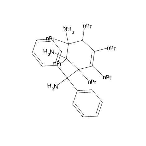 CCCC1=C(CCC)C(CCC)(C(N)(c2ccccc2)c2ccccc2)C(N)(CCC)C(N)(CCC)C1CCC